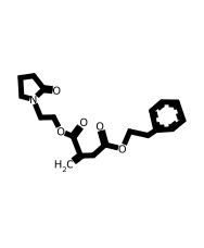 C=C(CC(=O)OCCc1ccccc1)C(=O)OCCN1CCCC1=O